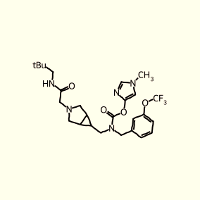 Cn1cnc(OC(=O)N(Cc2cccc(OC(F)(F)F)c2)CC2C3CN(CC(=O)NCC(C)(C)C)CC32)c1